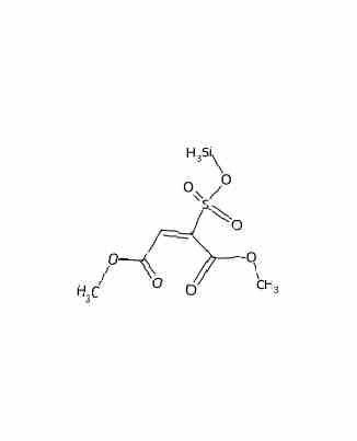 COC(=O)/C=C(\C(=O)OC)S(=O)(=O)O[SiH3]